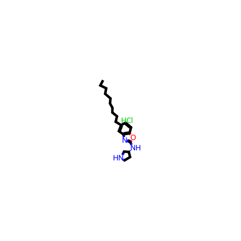 CCCCCCCCCCc1ccc2oc(N[C@@H]3CCNC3)nc2c1.Cl